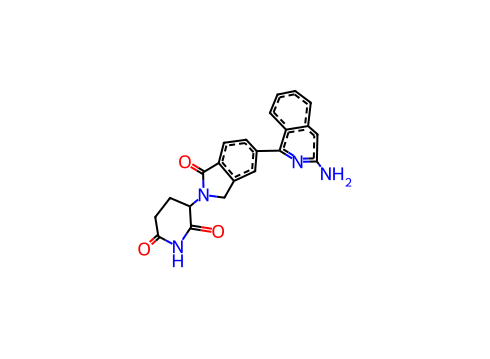 Nc1cc2ccccc2c(-c2ccc3c(c2)CN(C2CCC(=O)NC2=O)C3=O)n1